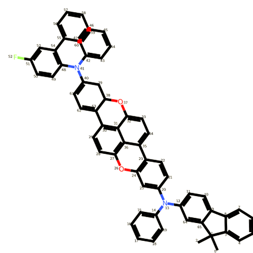 CC1(C)c2ccccc2-c2ccc(N(c3ccccc3)c3ccc4c(c3)Oc3ccc5c6c(ccc-4c36)OC3CC(N(c4ccccc4)c4ccc(F)cc4-c4ccccc4)=CC=C53)cc21